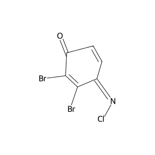 O=C1C=CC(=NCl)C(Br)=C1Br